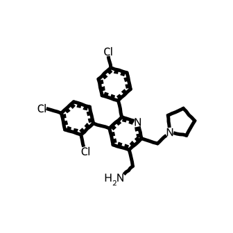 NCc1cc(-c2ccc(Cl)cc2Cl)c(-c2ccc(Cl)cc2)nc1CN1CCCC1